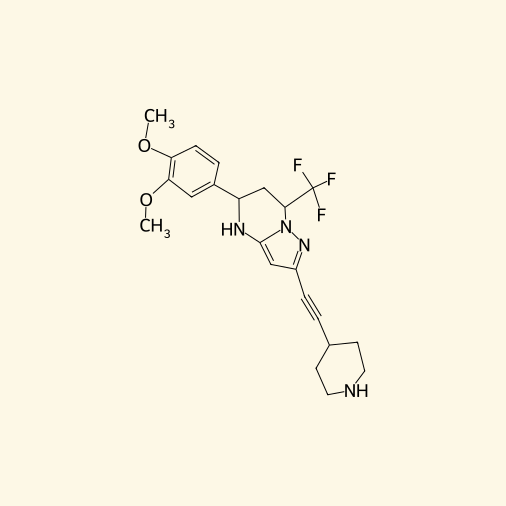 COc1ccc(C2CC(C(F)(F)F)n3nc(C#CC4CCNCC4)cc3N2)cc1OC